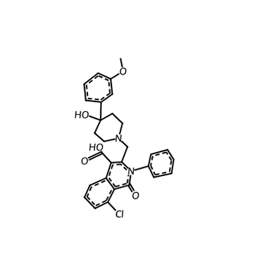 COc1cccc(C2(O)CCN(Cc3c(C(=O)O)c4cccc(Cl)c4c(=O)n3-c3ccccc3)CC2)c1